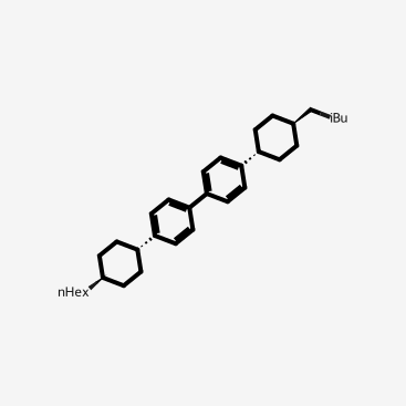 CCCCCC[C@H]1CC[C@H](c2ccc(-c3ccc([C@H]4CC[C@H](CC(C)CC)CC4)cc3)cc2)CC1